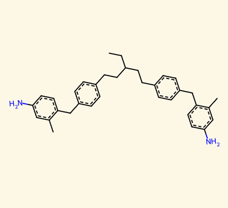 CCC(CCc1ccc(Cc2ccc(N)cc2C)cc1)CCc1ccc(Cc2ccc(N)cc2C)cc1